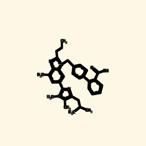 CCCc1nc2c(C)cc(-c3nc(CC(C)C)c(C)n3C)cc2n1Cc1ccc(-c2ccccc2C(=O)O)cc1